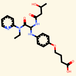 CCN(C(=O)C(NC(=O)CC(C)O)Nc1ccc(OCCCC(=O)O)cc1)c1ccccn1